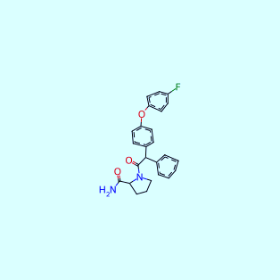 NC(=O)C1CCCN1C(=O)C(c1ccccc1)c1ccc(Oc2ccc(F)cc2)cc1